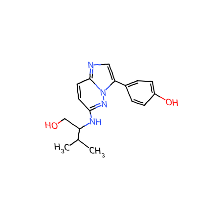 CC(C)C(CO)Nc1ccc2ncc(-c3ccc(O)cc3)n2n1